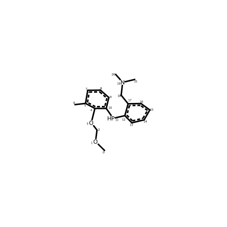 COCOc1c(C)cccc1Pc1ccccc1CN(C)C